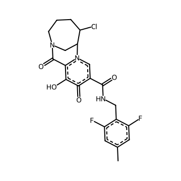 Cc1cc(F)c(CNC(=O)c2cn3c(c(O)c2=O)C(=O)N2CCCC(Cl)C3C2)c(F)c1